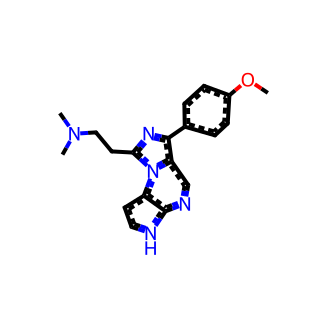 COc1ccc(-c2nc(CCN(C)C)n3c2cnc2[nH]ccc23)cc1